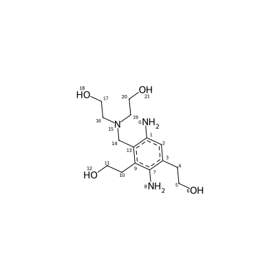 Nc1cc(CCO)c(N)c(CCO)c1CN(CCO)CCO